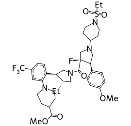 CC[C@H]1CN(C(=O)[C@]2(F)CN(C3CCN(S(=O)(=O)CC)CC3)C[C@H]2c2ccc(OC)cc2)C[C@@H]1c1ccc(C(F)(F)F)cc1N1CCC(C(=O)OC)CC1